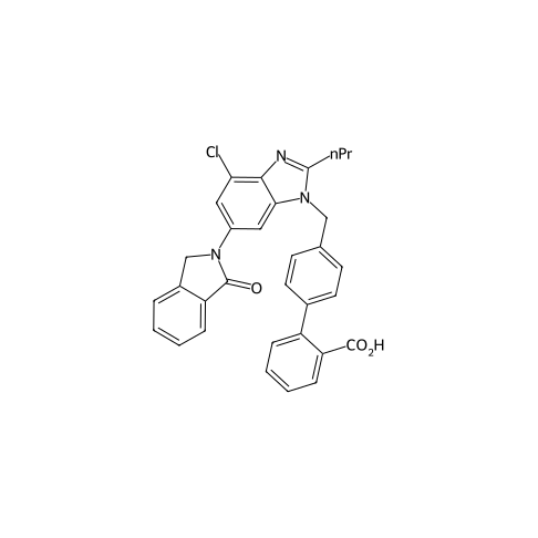 CCCc1nc2c(Cl)cc(N3Cc4ccccc4C3=O)cc2n1Cc1ccc(-c2ccccc2C(=O)O)cc1